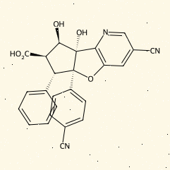 N#Cc1ccc([C@@]23Oc4cc(C#N)cnc4[C@]2(O)[C@H](O)[C@H](C(=O)O)[C@H]3c2ccccc2)cc1